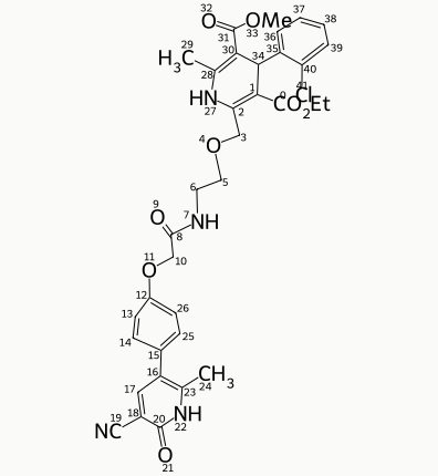 CCOC(=O)C1=C(COCCNC(=O)COc2ccc(-c3cc(C#N)c(=O)[nH]c3C)cc2)NC(C)=C(C(=O)OC)C1c1ccccc1Cl